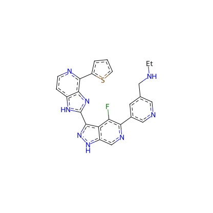 CCNCc1cncc(-c2ncc3[nH]nc(-c4nc5c(-c6cccs6)nccc5[nH]4)c3c2F)c1